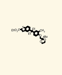 CCOC(=O)C1Cc2cc(C(CC)(CC)c3ccc(OCC4(C(C)(C)C)OCCO4)c(C)c3)ccc2S1